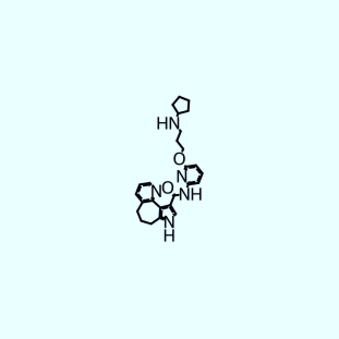 O=C(Nc1cccc(OCCCNC2CCCC2)n1)c1c[nH]c2c1-c1ncccc1CCC2